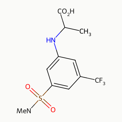 CNS(=O)(=O)c1cc(NC(C)C(=O)O)cc(C(F)(F)F)c1